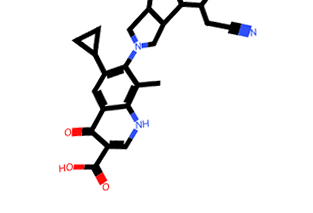 Cc1c(N2CC3CCC(C(N)CC#N)C3C2)c(C2CC2)cc2c(=O)c(C(=O)O)c[nH]c12